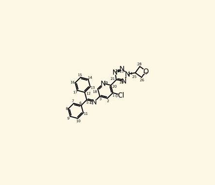 Clc1cc(N=C(c2ccccc2)c2ccccc2)cnc1-c1nnn(C2COC2)n1